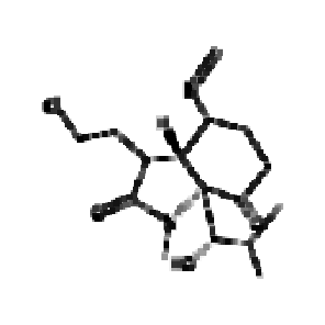 C=NC1CCC(=O)[C@@]2([C@@H](O)C(C)C)[C@@H]1C(CCCl)C(=O)N2C